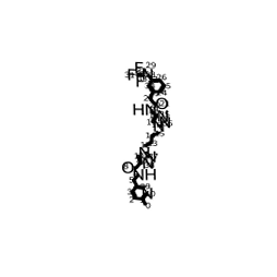 Cc1ccc(CNC(=O)c2cn(CCCCn3cc(NC(=O)Cc4cccc(N(C)C(F)(F)F)c4)nn3)nn2)cn1